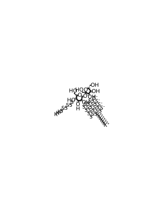 OC[C@H]1O[C@@](CO)(O[C@H]2O[C@H](CO)[C@@H](O)[C@H](O)[C@H]2O)[C@@H](O)[C@@H]1O.[K+].[K+].[K+].[K+].[K+].[K+].[K+].[K+].[K+].[K+].[S-]SSSS[S-].[S-]SSSS[S-].[S-]SSSS[S-].[S-]SSSS[S-].[S-]SSSS[S-]